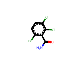 NC(=O)c1c(Br)ccc(Cl)c1Cl